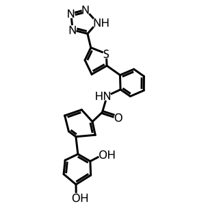 O=C(Nc1ccccc1-c1ccc(-c2nnn[nH]2)s1)c1cccc(-c2ccc(O)cc2O)c1